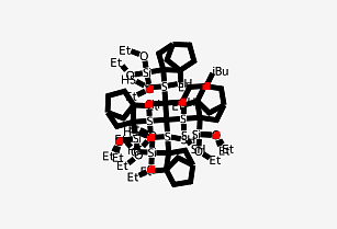 CCO[Si](OCC)(OCC)C1(S(S)(SS)C(C)(CCCC(C)CC)C(S(S)(SS)C2([Si](OCC)(OCC)OCC)CC3CCC2(CC)C3)(S(S)(SS)C2([Si](OCC)(OCC)OCC)CC3CCC2(CC)C3)S(S)(SS)C2([Si](OCC)(OCC)OCC)CC3CCC2(CC)C3)CC2CCC1(CC)C2